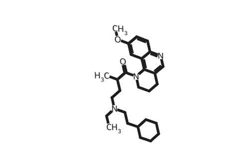 CCN(CCC1CCCCC1)CCC(C)C(=O)N1CCCc2cnc3ccc(OC)cc3c21